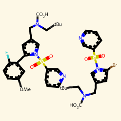 CC(C)(C)CN(Cc1cc(Br)n(S(=O)(=O)c2cccnc2)c1)C(=O)O.COc1ccc(F)c(-c2cc(CN(CC(C)(C)C)C(=O)O)cn2S(=O)(=O)c2cccnc2)c1